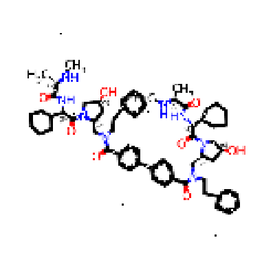 CN[C@@H](C)C(=O)N[C@H](C(=O)N1C[C@@H](O)C[C@H]1CN(CCc1ccccc1)C(=O)c1ccc(-c2ccc(C(=O)N(CCc3ccccc3)C[C@@H]3C[C@H](O)CN3C(=O)[C@@H](NC(=O)[C@H](C)NC)C3CCCCC3)cc2)cc1)C1CCCCC1